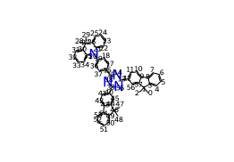 CC1(C)c2ccccc2-c2ccc(-c3nc(-c4ccc(N5c6ccccc6C(C)(C)c6ccccc65)cc4)nc(-c4ccc5c(c4)C(C)(C)c4ccccc4-5)n3)cc21